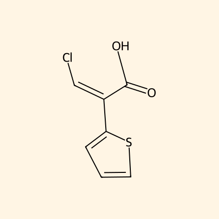 O=C(O)C(=CCl)c1cccs1